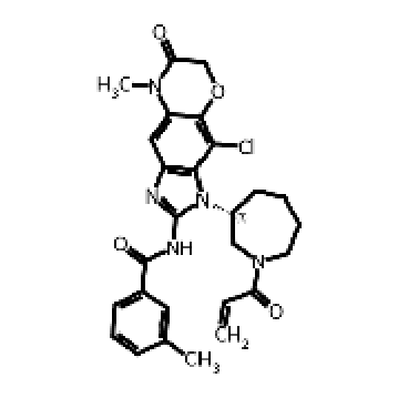 C=CC(=O)N1CCCC[C@@H](n2c(NC(=O)c3cccc(C)c3)nc3cc4c(c(Cl)c32)OCC(=O)N4C)C1